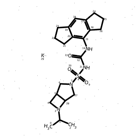 CC(C)N1CC2CN(S(=O)(=O)NC(=O)Nc3c4c(cc5c3CCC5)CCC4)CC21.[K]